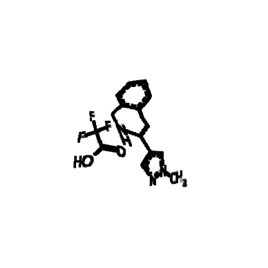 Cn1cc(C2Cc3ccccc3CN2)cn1.O=C(O)C(F)(F)F